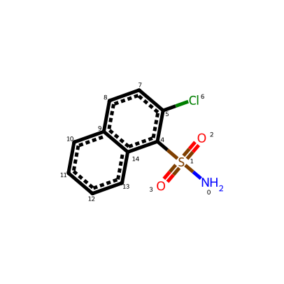 NS(=O)(=O)c1c(Cl)ccc2ccccc12